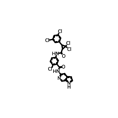 O=C(Nc1cc2cc[nH]c2cn1)c1cc(NC(=O)C2C(c3cc(Cl)cc(Cl)c3)C2(Cl)Cl)ccc1Cl